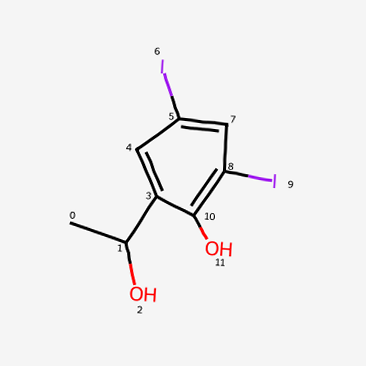 CC(O)c1cc(I)cc(I)c1O